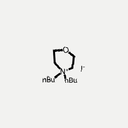 CCCC[N+]1(CCCC)CCOCC1.[I-]